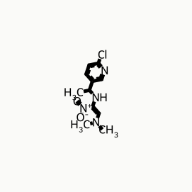 CC(NC(=CN(C)C)[N+](=O)[O-])c1ccc(Cl)nc1